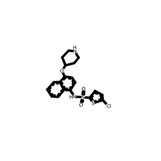 O=S(=O)(Nc1ccc(OC2CCNCC2)c2ccccc12)c1ccc(Cl)s1